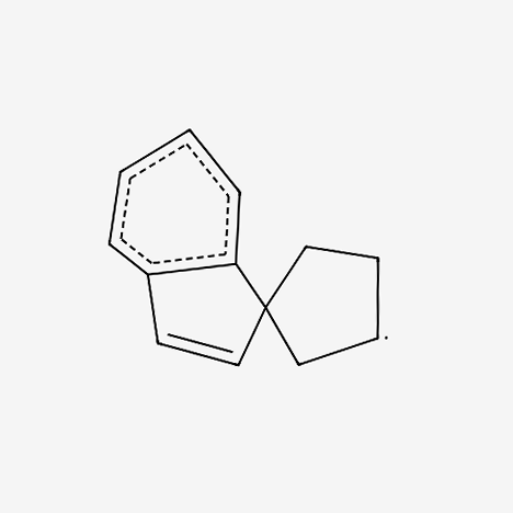 [CH]1CCC2(C=Cc3ccccc32)C1